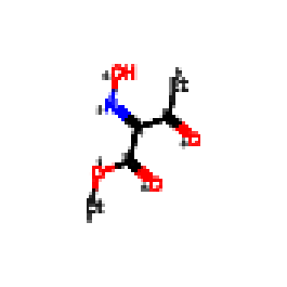 CCOC(=O)C(=NO)C(=O)CC